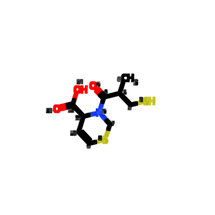 CC(CS)C(=O)N1CSC=CC1C(=O)O